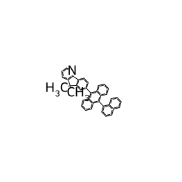 CC1(C)c2cc(-c3c4ccccc4c(-c4cccc5ccccc45)c4ccccc34)ccc2-c2ncccc21